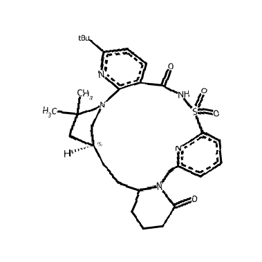 CC(C)(C)c1ccc2c(n1)N1C[C@@H](CCC3CCCC(=O)N3c3cccc(n3)S(=O)(=O)NC2=O)CC1(C)C